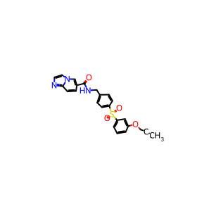 CCCOc1cccc(S(=O)(=O)c2ccc(CNC(=O)c3ccc4nccn4c3)cc2)c1